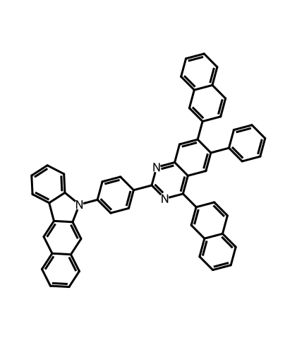 c1ccc(-c2cc3c(-c4ccc5ccccc5c4)nc(-c4ccc(-n5c6ccccc6c6cc7ccccc7cc65)cc4)nc3cc2-c2ccc3ccccc3c2)cc1